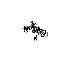 Cc1nc(N2CC3CC(C2)N(C(=O)C2CC2)C3c2cc3c(C)nc4c(F)c(-c5cccc(Cl)c5Cl)c(CCC#N)cc4c3n2C2C3CNC2C3)sc1C